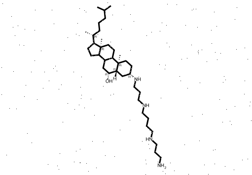 CC(C)CCC[C@@H](C)C1CCC2C3C[C@@H](O)[C@H]4C[C@@H](NCCCNCCCCNCCCN)CC[C@]4(C)C3CC[C@@]21C